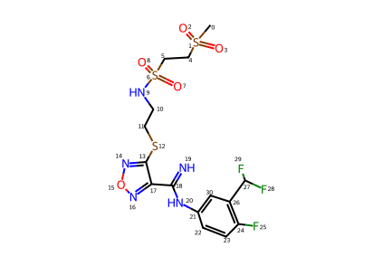 CS(=O)(=O)CCS(=O)(=O)NCCSc1nonc1C(=N)Nc1ccc(F)c(C(F)F)c1